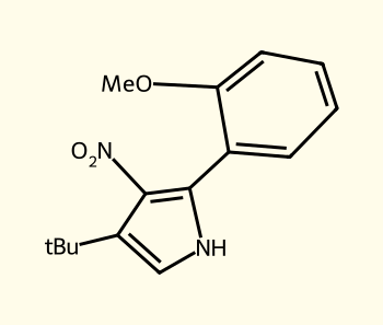 COc1ccccc1-c1[nH]cc(C(C)(C)C)c1[N+](=O)[O-]